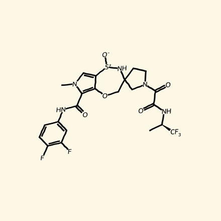 C[C@@H](NC(=O)C(=O)N1CCC2(COc3c(cn(C)c3C(=O)Nc3ccc(F)c(F)c3)[S+]([O-])N2)C1)C(F)(F)F